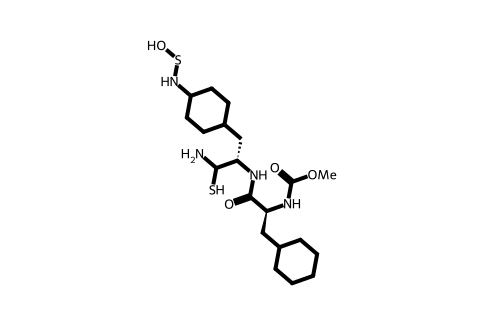 COC(=O)N[C@@H](CC1CCCCC1)C(=O)N[C@@H](CC1CCC(NSO)CC1)C(N)S